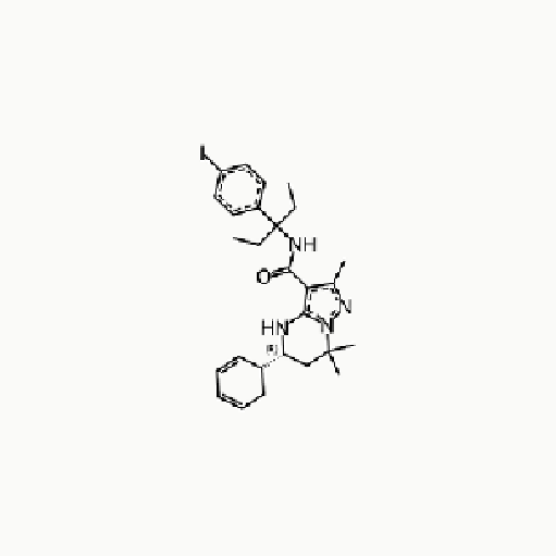 CCC(CC)(NC(=O)c1c(C)nn2c1N[C@@H](C1C=CC=CC1)CC2(C)C)c1ccc(I)cc1